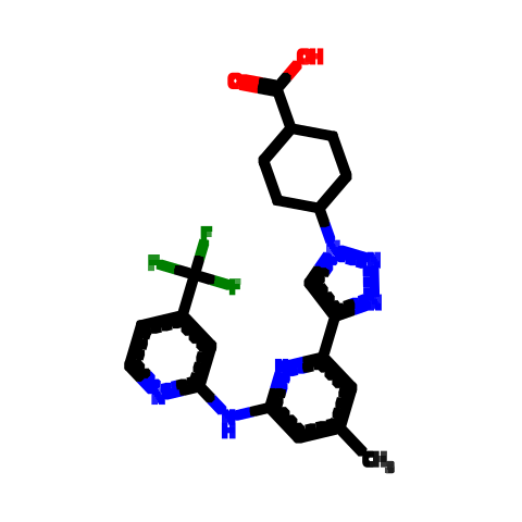 Cc1cc(Nc2cc(C(F)(F)F)ccn2)nc(-c2cn(C3CCC(C(=O)O)CC3)nn2)c1